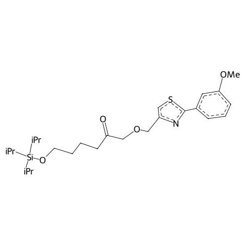 COc1cccc(-c2nc(COCC(=O)CCCCO[Si](C(C)C)(C(C)C)C(C)C)cs2)c1